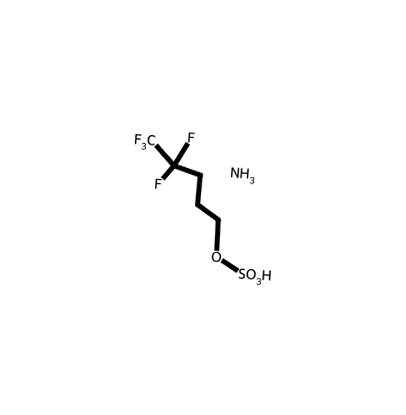 N.O=S(=O)(O)OCCCC(F)(F)C(F)(F)F